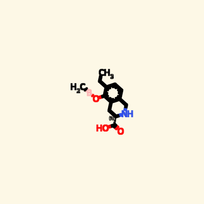 C=BOc1c(CC)ccc2c1C[C@@H](C(=O)O)NC2